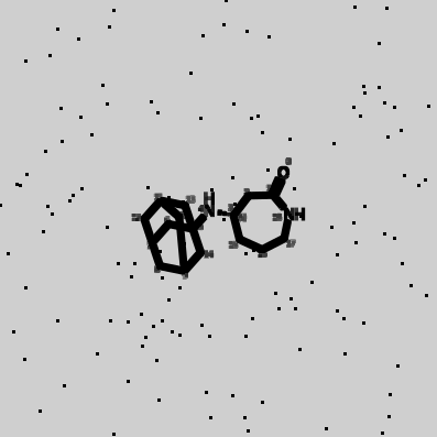 O=C1C[C@@H](NC23CC4CC(CC(C4)C2)C3)CCCN1